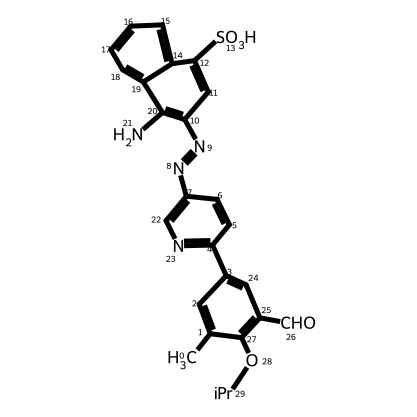 Cc1cc(-c2ccc(N=Nc3cc(S(=O)(=O)O)c4ccccc4c3N)cn2)cc(C=O)c1OC(C)C